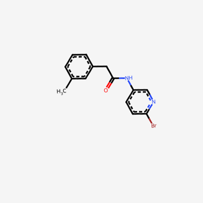 Cc1cccc(CC(=O)Nc2ccc(Br)nc2)c1